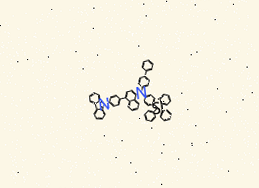 c1ccc(-c2ccc(N(c3ccc([Si](c4ccccc4)(c4ccccc4)c4ccccc4)cc3)c3ccc(-c4ccc(-n5c6ccccc6c6ccccc65)cc4)c4ccccc34)cc2)cc1